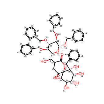 O=C1O[C@]2(C(=O)CC1C(O)[C@H]1O[C@@H](OCc3ccccc3)[C@H](OCc3ccccc3)[C@@H](OCc3ccccc3)[C@@H]1OCc1ccccc1)[C@@H](O)[C@H](O)[C@@H](O)[C@H](O)[C@]2(O)Cc1ccccc1